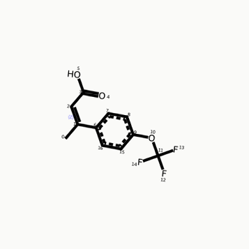 C/C(=C/C(=O)O)c1ccc(OC(F)(F)F)cc1